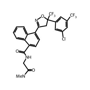 CNC(=O)CNC(=O)c1ccc(C2=NOC(c3cc(Cl)cc(C(F)(F)F)c3)(C(F)(F)F)C2)c2ccccc12